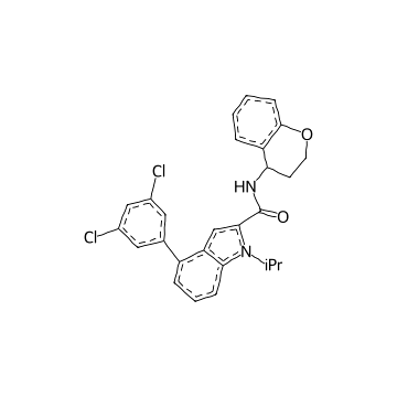 CC(C)n1c(C(=O)NC2CCOc3ccccc32)cc2c(-c3cc(Cl)cc(Cl)c3)cccc21